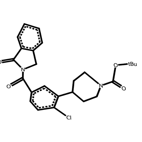 CC(C)(C)OC(=O)N1CCC(c2cc(C(=O)N3Cc4ccccc4C3=O)ccc2Cl)CC1